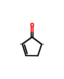 O=C1[C]=CC[CH]1